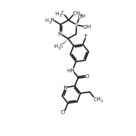 CCc1cc(Cl)cnc1C(=O)Nc1ccc(F)c([C@]2(C)CS(O)(O)C(C)(C)C(N)=N2)c1